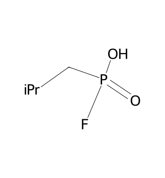 CC(C)CP(=O)(O)F